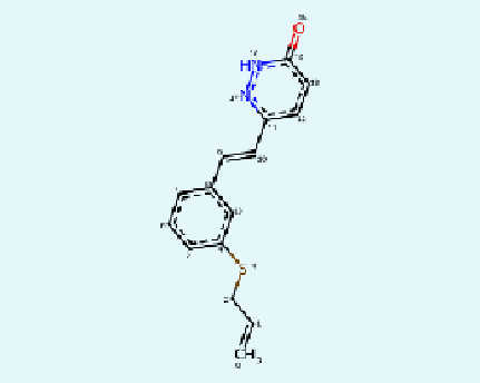 C=CCSc1cccc(C=Cc2ccc(=O)[nH]n2)c1